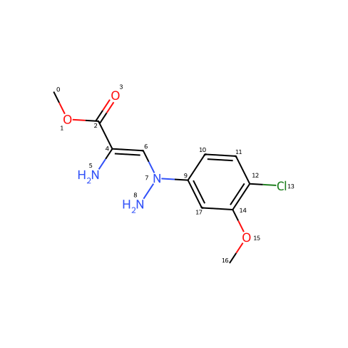 COC(=O)/C(N)=C/N(N)c1ccc(Cl)c(OC)c1